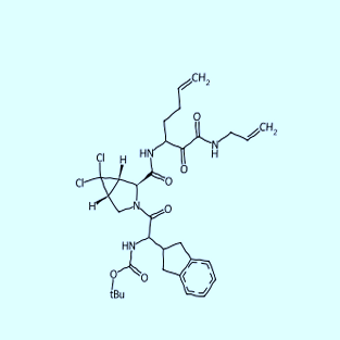 C=CCCC(NC(=O)[C@@H]1[C@@H]2[C@H](CN1C(=O)C(NC(=O)OC(C)(C)C)C1Cc3ccccc3C1)C2(Cl)Cl)C(=O)C(=O)NCC=C